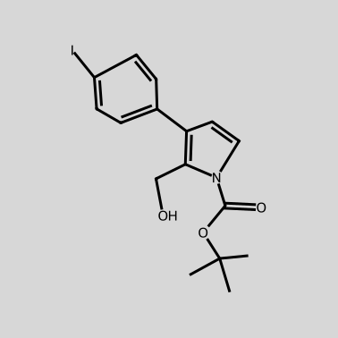 CC(C)(C)OC(=O)n1ccc(-c2ccc(I)cc2)c1CO